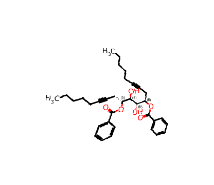 CCCCCC#CC[C@@H](OC(=O)c1ccccc1)[C@H](O)[C@H](O)[C@@H](CC#CCCCCC)OC(=O)c1ccccc1